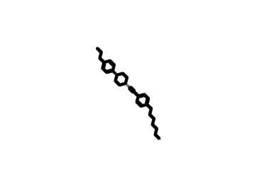 CCCCCCCc1ccc(C#C[C@H]2CC[C@H](c3ccc(CCC)cc3)CC2)cc1